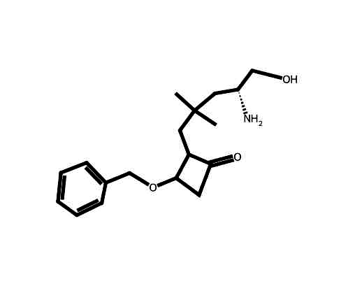 CC(C)(CC1C(=O)CC1OCc1ccccc1)C[C@@H](N)CO